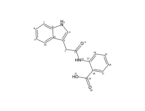 O=C(Cc1c[nH]c2ccccc12)Nc1ccccc1C(=O)O